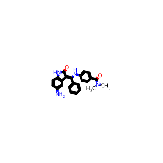 CN(C)C(=O)c1ccc(N/C(=C2\C(=O)Nc3ccc(N)cc32)c2ccccc2)cc1